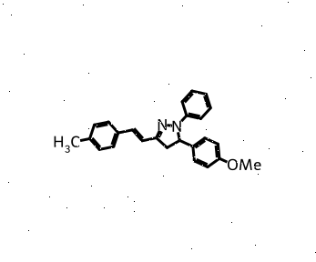 COc1ccc(C2CC(C=Cc3ccc(C)cc3)=NN2c2ccccc2)cc1